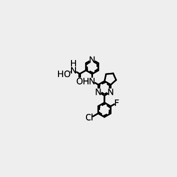 O=C(NO)c1cnccc1Nc1nc(-c2cc(Cl)ccc2F)nc2c1CCC2